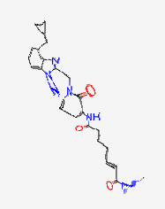 CN(C)C(=O)/C=C/CCCC(=O)Nc1cccn(Cc2nc3c(CC4CC4)cccc3[nH]2)c1=O